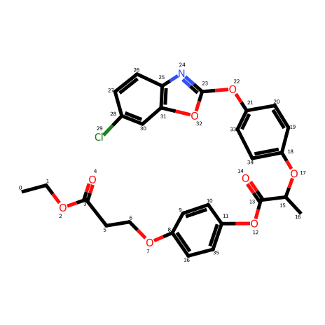 CCOC(=O)CCOc1ccc(OC(=O)C(C)Oc2ccc(Oc3nc4ccc(Cl)cc4o3)cc2)cc1